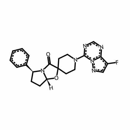 O=C1N2[C@@H](CC[C@H]2c2ccccc2)OC12CCN(c1ncnc3c(F)cnn13)CC2